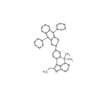 CCc1nc2cccc3c2n1-c1ccc(-c2ccc4c(-c5ccccc5)c5ccccc5c(-c5ccccc5)c4c2)cc1C3(C)C